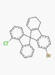 Clc1cccc2c1-c1ccccc1C21C2=C(CCC=C2)c2ccc(Br)cc21